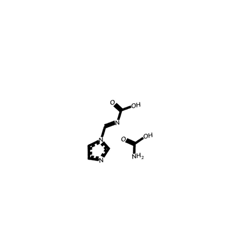 NC(=O)O.O=C(O)N=Cn1ccnc1